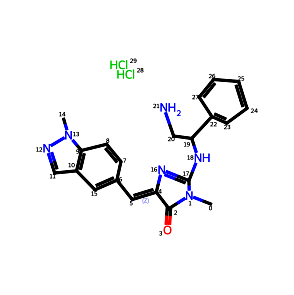 CN1C(=O)/C(=C/c2ccc3c(cnn3C)c2)N=C1NC(CN)c1ccccc1.Cl.Cl